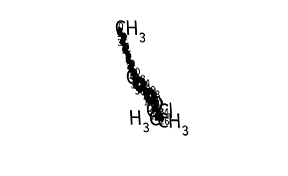 CCCCCCCCCCCOc1ccc(-c2ccc(OC(=O)C(Cl)C(C)C)cc2)cc1